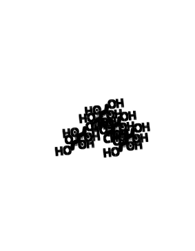 O=C(CO)[C@@H](O)[C@H](O)[C@H](O)CO.O=C(CO)[C@@H](O)[C@H](O)[C@H](O)CO.O=C[C@H](O)[C@@H](O)[C@H](O)[C@H](O)CO.O=C[C@H](O)[C@@H](O)[C@H](O)[C@H](O)CO